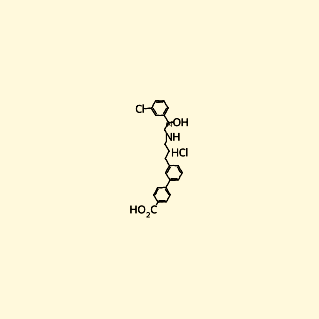 Cl.O=C(O)c1ccc(-c2cccc(CCCNC[C@H](O)c3cccc(Cl)c3)c2)cc1